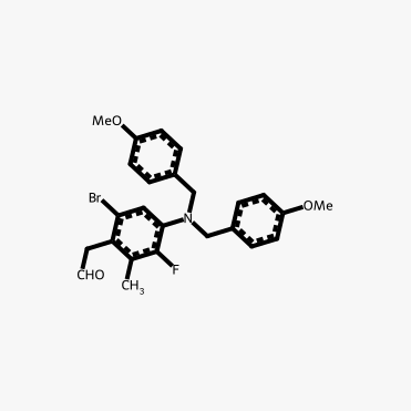 COc1ccc(CN(Cc2ccc(OC)cc2)c2cc(Br)c(CC=O)c(C)c2F)cc1